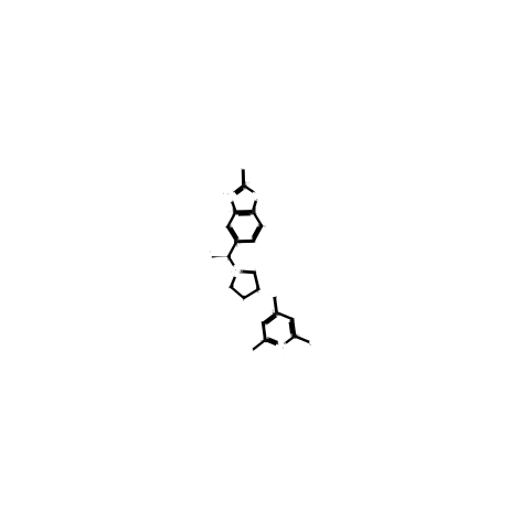 Cc1cc(C[C@@H]2CCN([C@@H](C)c3ccc4sc(C)nc4c3)C2)cc(C)n1